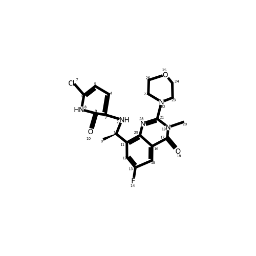 C[C@@H](Nc1ccc(Cl)[nH]c1=O)c1cc(F)cc2c(=O)n(C)c(N3CCOCC3)nc12